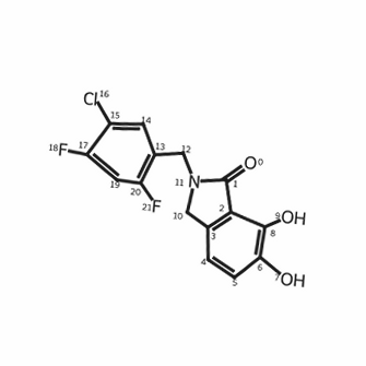 O=C1c2c(ccc(O)c2O)CN1Cc1cc(Cl)c(F)cc1F